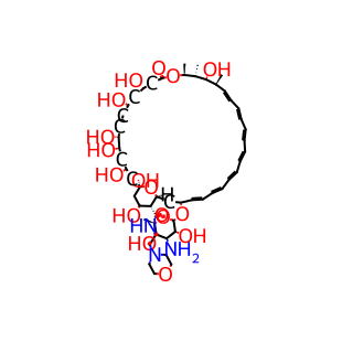 C[C@@H]1[C@H](O)[C@@H](C)/C=C/C=C/C=C/C=C/C=C/C=C/C=C/[C@H](O[C@@H]2O[C@H](C)[C@@H](O)[C@H](N)[C@@H]2O)C[C@@H]2O[C@](O)(C[C@@H](O)C[C@@H](O)[C@H](O)CC[C@@H](O)C[C@@H](O)CC(=O)O[C@H]1C)C[C@H](O)[C@H]2C(=O)NCCN1CCOCC1